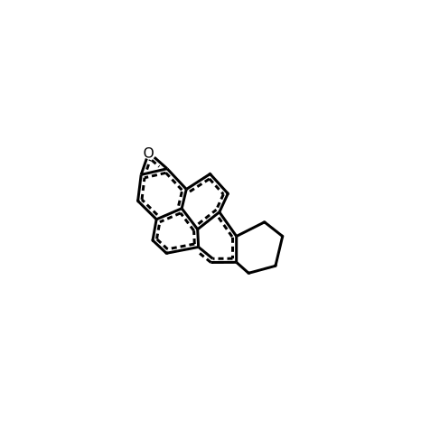 c1cc2cc3oc3c3ccc4c5c(cc1c4c23)CCCC5